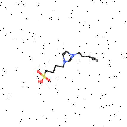 CCCC[n+]1ccn(CCCCS(=O)(=O)O)c1